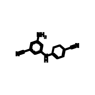 N#CC1=CC=C(Nc2cc(N)cc(C#N)c2)CC1